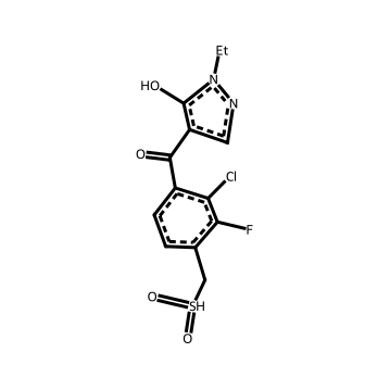 CCn1ncc(C(=O)c2ccc(C[SH](=O)=O)c(F)c2Cl)c1O